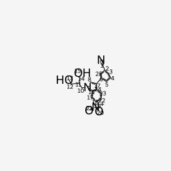 N#Cc1cccc(-c2cn(CC(CO)CO)c3cc([N+](=O)[O-])ccc23)c1